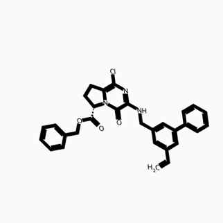 C=Cc1cc(CNc2nc(Cl)c3n(c2=O)[C@H](C(=O)OCc2ccccc2)CC3)cc(-c2ccccc2)c1